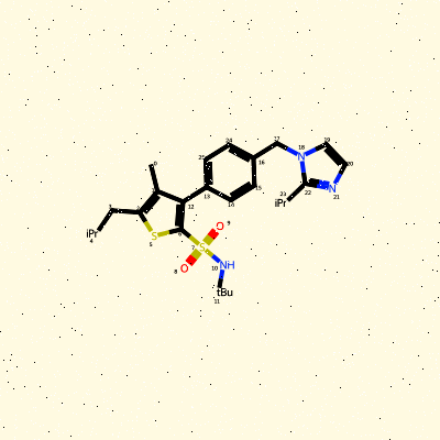 Cc1c(CC(C)C)sc(S(=O)(=O)NC(C)(C)C)c1-c1ccc(Cn2ccnc2C(C)C)cc1